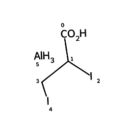 O=C(O)C(I)CI.[AlH3]